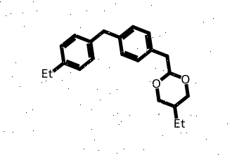 CCc1ccc(Cc2ccc(CC3OCC(CC)CO3)cc2)cc1